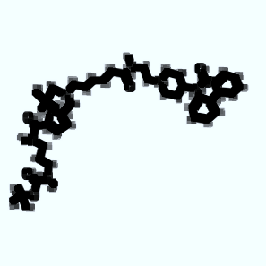 CN(CCN1CCC(N(C(=O)O)c2ccccc2-c2ccccc2)CC1)C(=O)CCCCCN(Cc1ccc(C(=O)N(C)CCCN(C)C(=O)OC(C)(C)C)s1)CC(C)(C)C